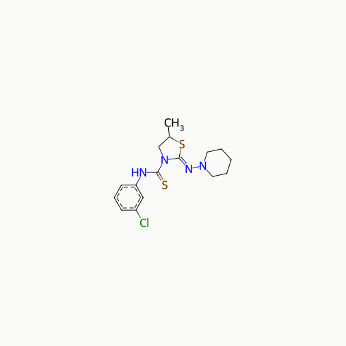 CC1CN(C(=S)Nc2cccc(Cl)c2)C(=NN2CCCCC2)S1